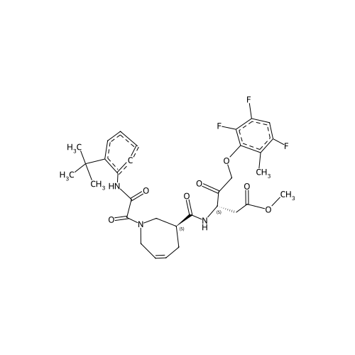 COC(=O)C[C@H](NC(=O)[C@H]1CC=CCN(C(=O)C(=O)Nc2ccccc2C(C)(C)C)C1)C(=O)COc1c(C)c(F)cc(F)c1F